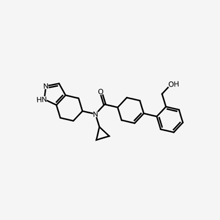 O=C(C1CC=C(c2ccccc2CO)CC1)N(C1CC1)C1CCc2[nH]ncc2C1